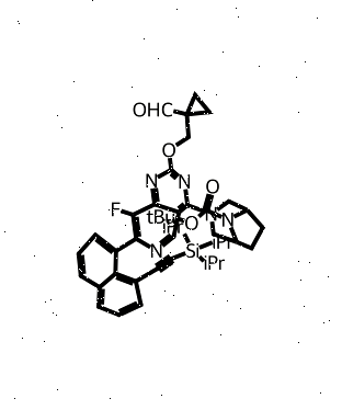 CC(C)[Si](C#Cc1cccc2cccc(-c3ncc4c(N5CC6CCC(C5)N6C(=O)OC(C)(C)C)nc(OCC5(C=O)CC5)nc4c3F)c12)(C(C)C)C(C)C